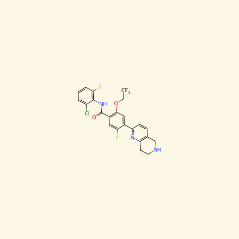 O=C(Nc1c(F)cccc1Cl)c1cc(F)c(-c2ccc3c(n2)CCNC3)cc1OCC(F)(F)F